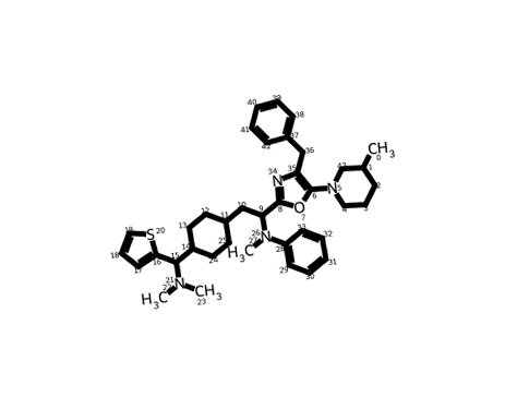 CC1CCCN(c2oc(C(CC3CCC(C(c4cccs4)N(C)C)CC3)N(C)c3ccccc3)nc2Cc2ccccc2)C1